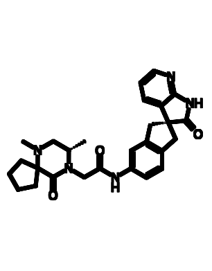 C[C@H]1CN(C)C2(CCCC2)C(=O)N1CC(=O)Nc1ccc2c(c1)C[C@@]1(C2)C(=O)Nc2ncccc21